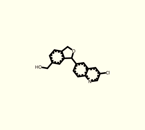 OCc1ccc2c(c1)C(c1ccc3ncc(Cl)cc3c1)OC2